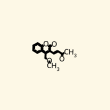 COCc1c(/C=C/C(C)=O)c(=O)oc2ccccc12